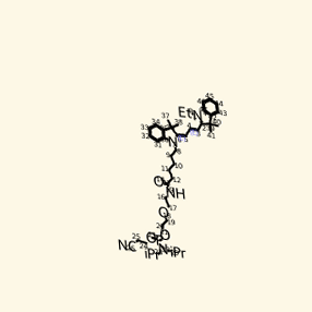 CC[N+]1=C(/C=C/C=C2/N(CCCCCC(=O)NCCOCCOP(OCCC#N)N(C(C)C)C(C)C)c3ccccc3C2(C)C)C(C)(C)c2ccccc21